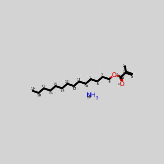 C=C(C)C(=O)OCCCCCCCCCCCCCC.N